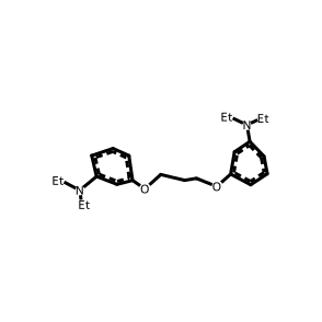 CCN(CC)c1cccc(OCCCOc2cccc(N(CC)CC)c2)c1